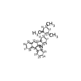 Cc1cc(C)c(-c2ccc3c(c2)c2cc4ccccc4c4c5ccccc5n3c24)c(C)c1